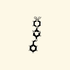 O=S1(=O)CCN(c2ncc(OCc3ccccc3)cn2)CC1